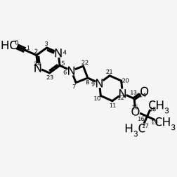 C#Cc1cnc(N2CC(N3CCN(C(=O)OC(C)(C)C)CC3)C2)cn1